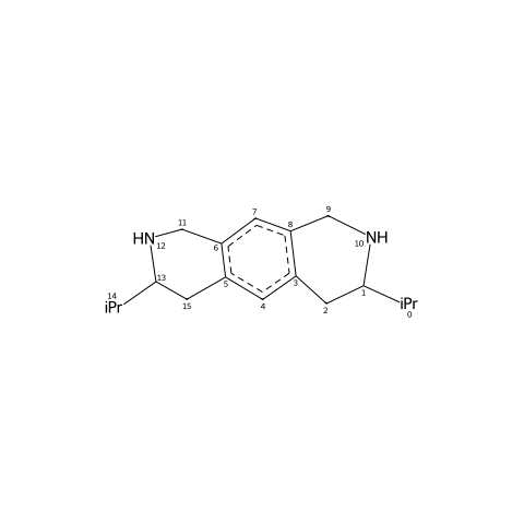 CC(C)C1Cc2cc3c(cc2CN1)CNC(C(C)C)C3